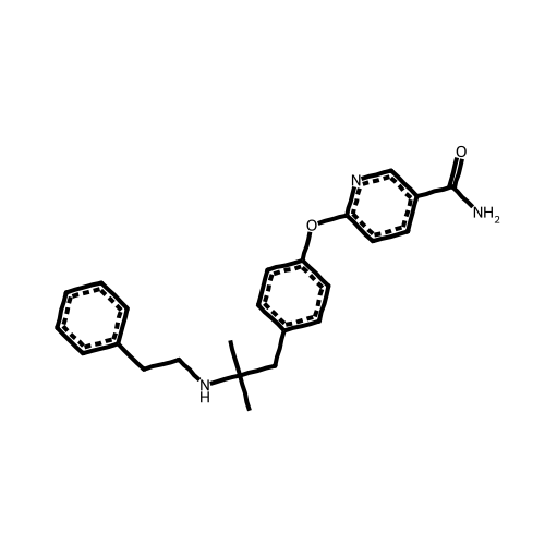 CC(C)(Cc1ccc(Oc2ccc(C(N)=O)cn2)cc1)NCCc1ccccc1